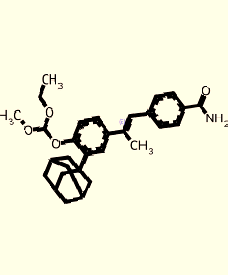 CCOC(OC)Oc1ccc(/C(C)=C/c2ccc(C(N)=O)cc2)cc1C12CC3CC(CC(C3)C1)C2